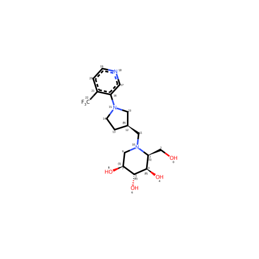 OC[C@H]1[C@@H](O)[C@H](O)[C@@H](O)CN1C[C@H]1CCN(c2cnccc2C(F)(F)F)C1